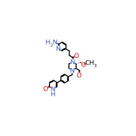 COC[C@@H]1C(C=O)N(Cc2ccc(-c3ccc(=O)[nH]c3)cc2)CCN1C(=O)CCc1ccc(N)nc1